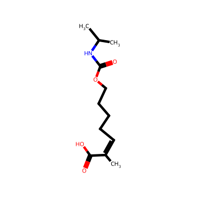 CC(=CCCCCOC(=O)NC(C)C)C(=O)O